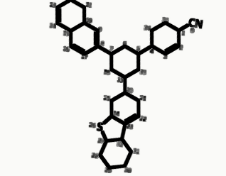 N#CC1C=CC(C2CC(C3=CC4CCC=CC4C=C3)CC(C3CC=C4C(C3)SC3CCCCC43)C2)CC1